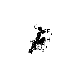 C[C@@H]1CN(c2cc(N3CCN(CC4=C(c5ccc(Cl)cc5)C[C@@H](C(F)(F)F)CC4)CC3)ccc2C(=O)NS(=O)(=O)c2ccc(NCC3CCOCC3)c([N+](=O)[O-])c2)c2cc3cc[nH]c3nc2O1